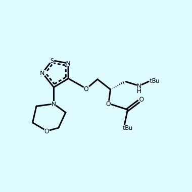 [CH2]C([CH2])(C)C(=O)O[C@@H](CNC(C)(C)C)COc1nsnc1N1CCOCC1